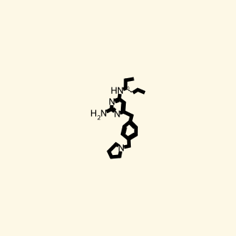 CCC[C@@H](CC)Nc1cc(Cc2ccc(CN3CCCC3)cc2)nc(N)n1